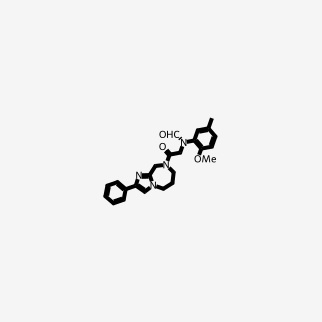 COc1ccc(C)cc1N(C=O)CC(=O)N1CCCn2cc(-c3ccccc3)nc2C1